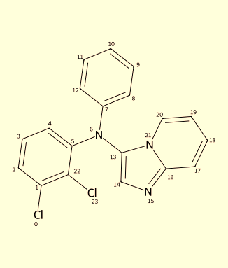 Clc1cccc(N(c2ccccc2)c2cnc3ccccn23)c1Cl